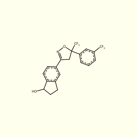 OC1CCc2cc(C3=NOC(c4cccc(C(F)(F)F)c4)(C(F)(F)F)C3)ccc21